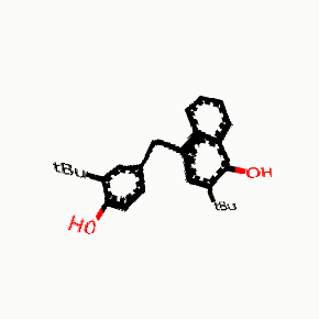 CC(C)(C)c1cc(Cc2cc(C(C)(C)C)c(O)c3ccccc23)ccc1O